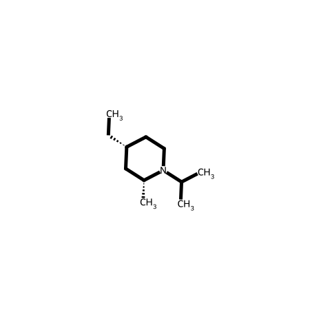 CC[C@@H]1CCN(C(C)C)[C@H](C)C1